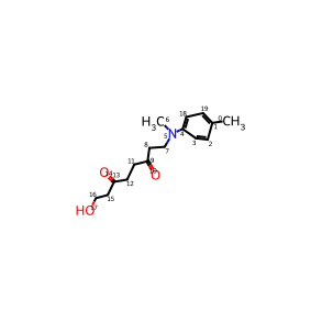 Cc1ccc(N(C)CCC(=O)CCC(=O)CCO)cc1